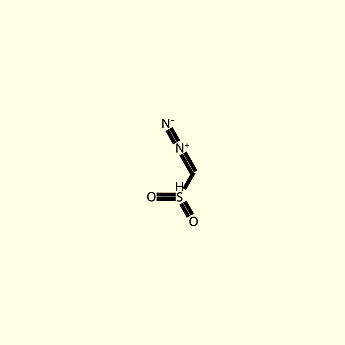 [N-]=[N+]=C[SH](=O)=O